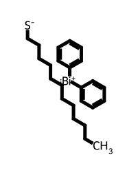 CCCCCCCCCCCC[S-].c1cc[c]([Bi+][c]2ccccc2)cc1